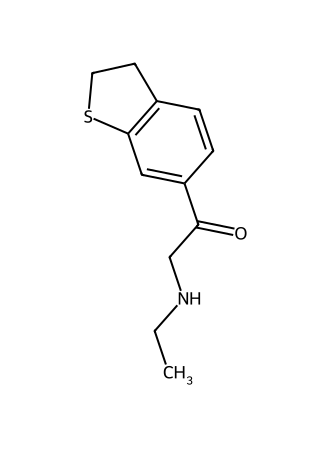 CCNCC(=O)c1ccc2c(c1)SCC2